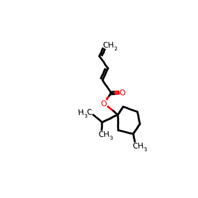 C=CC=CC(=O)OC1(C(C)C)CCCC(C)C1